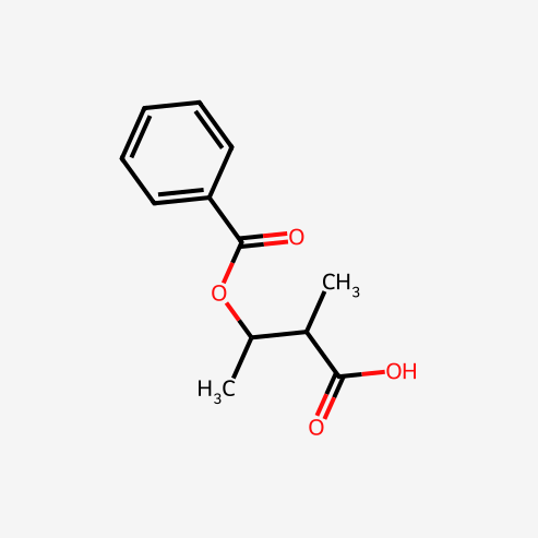 CC(OC(=O)c1ccccc1)C(C)C(=O)O